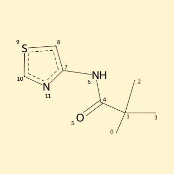 CC(C)(C)C(=O)Nc1cscn1